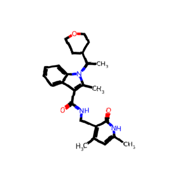 Cc1cc(C)c(CNC(=O)c2c(C)n(C(C)C3CCOCC3)c3ccccc23)c(=O)[nH]1